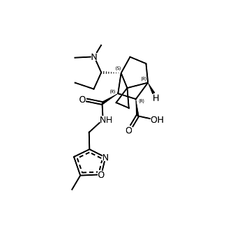 CCC(N(C)C)[C@@]12CC[C@H]([C@@H](C(=O)O)[C@H]1C(=O)NCc1cc(C)on1)C21CC1